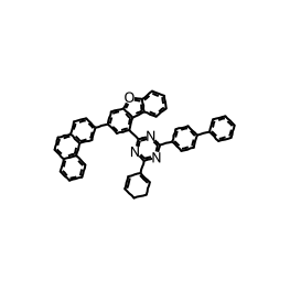 C1=CC(c2nc(-c3ccc(-c4ccccc4)cc3)nc(-c3cc(-c4ccc5ccc6ccccc6c5c4)cc4oc5ccccc5c34)n2)=CCC1